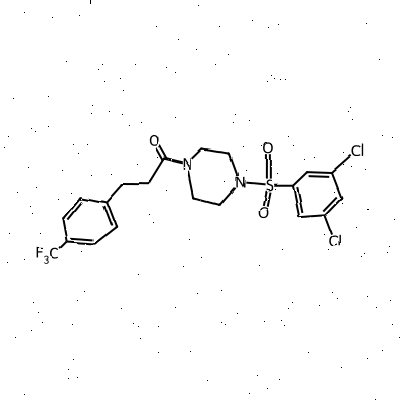 O=C(CCc1ccc(C(F)(F)F)cc1)N1CCN(S(=O)(=O)c2cc(Cl)cc(Cl)c2)CC1